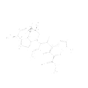 Cc1c(C(=O)OC(C)C)cc2c(Cl)ccn2c1C(C)c1cc(O)c2c3c1C[C@@H]1[C@@H]4C=C[C@H](O)[C@H](O2)[C@]34CCN1C